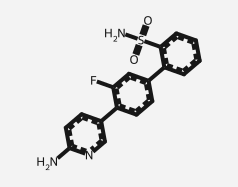 Nc1ccc(-c2ccc(-c3ccccc3S(N)(=O)=O)cc2F)cn1